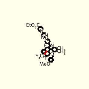 CCOC(=O)C1CCN(c2cnc(N3CCC(c4nc5c(c(C6CCC(F)(F)CC6)c4C(F)c4ccc(C(F)(F)F)cc4)C(OCc4ccc(OC)cc4)CC(C)(C)C5)CC3)nc2)CC1